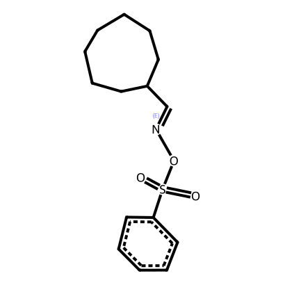 O=S(=O)(O/N=C/C1CCCCCCC1)c1ccccc1